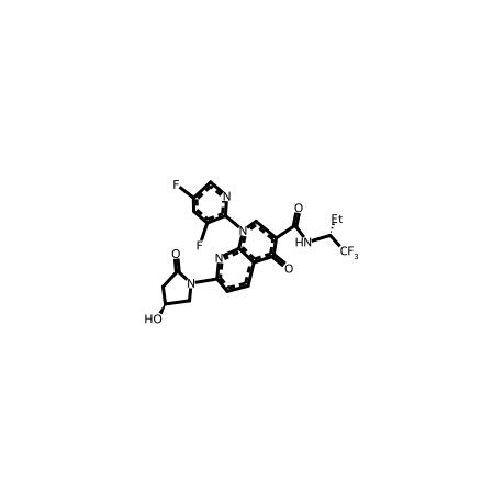 CC[C@@H](NC(=O)c1cn(-c2ncc(F)cc2F)c2nc(N3C[C@@H](O)CC3=O)ccc2c1=O)C(F)(F)F